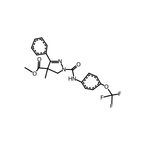 COC(=O)C1(C)CN(C(=O)Nc2ccc(OC(F)(F)F)cc2)N=C1c1ccccc1